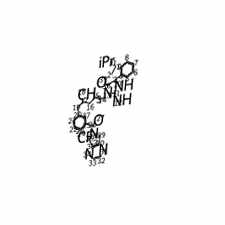 CC(C)CC[C@]1(c2ccccc2)NC(=N)N(CCC[C@H](C)Cc2ccc(C(F)(F)F)c(C(=O)N3Cc4nccnc4C3)c2)C1=O